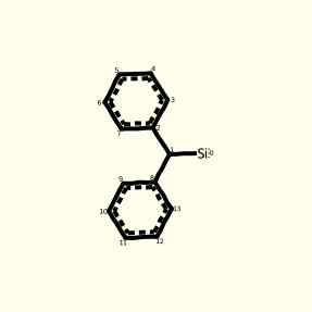 [Si]C(c1ccccc1)c1ccccc1